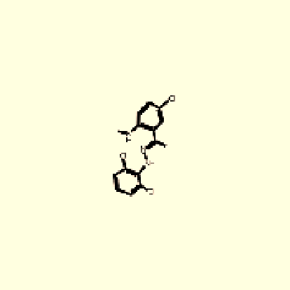 CNc1ccc(Cl)cc1/C(C)=N/Nc1c(Cl)cccc1Cl